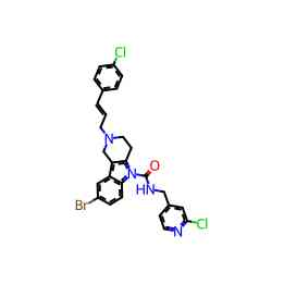 O=C(NCc1ccnc(Cl)c1)n1c2c(c3cc(Br)ccc31)CN(CC=Cc1ccc(Cl)cc1)CC2